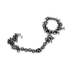 CO[C@H]1CC2CC[C@@H](C)C(O2)C(=O)C(=O)N2CCCC[C@H]2C(=O)O[C@H](CC[C@@H]2CC[C@@H](OC(=O)NCCOCCOCCN3CCN(CCOCCOCCOCCOCCC(=O)N4CCc5cc(Cn6nc(-c7ccc8oc(N)nc8c7)c7c(N)ncnc76)ccc5C4)CC3)[C@H](OC)C2)C[C@@H](O)[C@H](C)/C=C(\C)[C@@H](O)CC(=O)[C@H](C)C[C@H](C)/C=C/C=C/C=C/1C